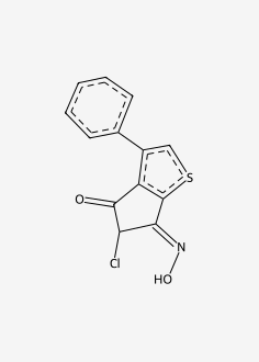 O=C1c2c(-c3ccccc3)csc2C(=NO)C1Cl